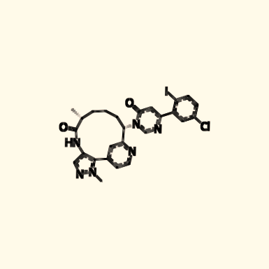 C[C@@H]1CCC[C@H](n2cnc(-c3cc(Cl)ccc3I)cc2=O)c2cc(ccn2)-c2c(cnn2C)NC1=O